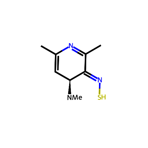 CN[C@H]1C=C(C)N=C(C)/C1=N/S